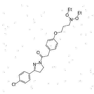 CCON(CCCOc1ccc(CC(=O)N2CCC(c3ccc(Cl)cc3)=N2)cc1)OCC